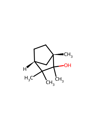 CC1(C)[C@@H]2CC[C@@](C)(C2)C1(C)O